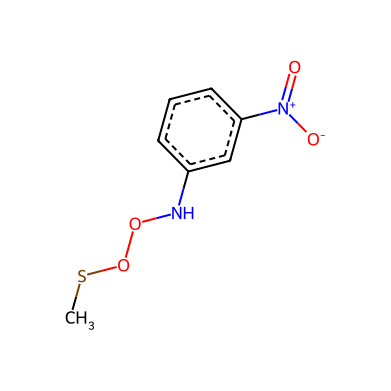 CSOONc1cccc([N+](=O)[O-])c1